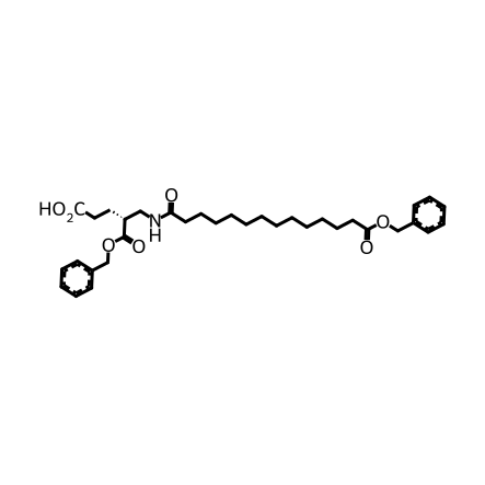 O=C(O)CC[C@H](CNC(=O)CCCCCCCCCCCCC(=O)OCc1ccccc1)C(=O)OCc1ccccc1